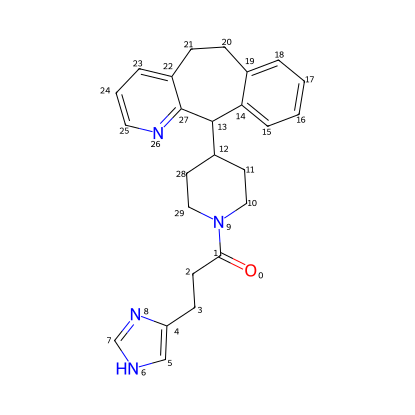 O=C(CCc1c[nH]cn1)N1CCC(C2c3ccccc3CCc3cccnc32)CC1